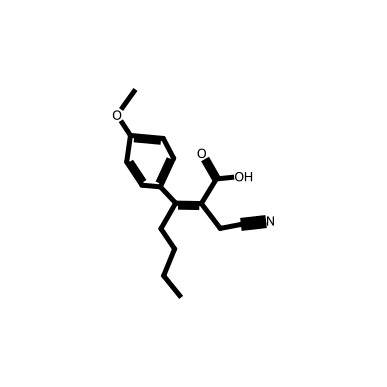 CCCCC(=C(CC#N)C(=O)O)c1ccc(OC)cc1